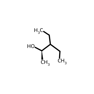 CCC(CC)[C@@H](C)O